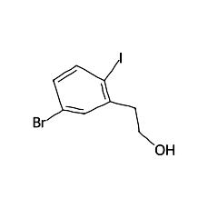 OCCc1cc(Br)ccc1I